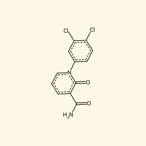 NC(=O)c1cccn(-c2ccc(Cl)c(Cl)c2)c1=O